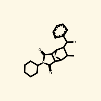 CCC(c1ccccc1)C1C(C)C2OC1C1C(=O)N(C3CCCCC3)C(=O)C21